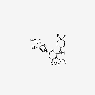 CCc1cn(-c2cc(NC)c([N+](=O)[O-])c(NC3CCC(F)(F)CC3)n2)nc1C(=O)O